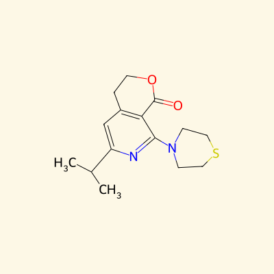 CC(C)c1cc2c(c(N3CCSCC3)n1)C(=O)OCC2